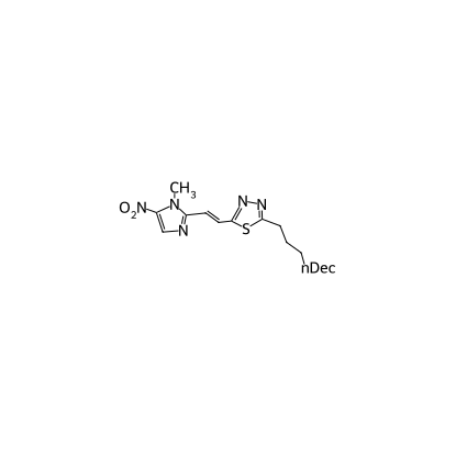 CCCCCCCCCCCCCc1nnc(C=Cc2ncc([N+](=O)[O-])n2C)s1